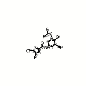 C#Cc1cc(NC(=O)c2cc(F)c(Cl)s2)cn(CC(F)F)c1=O